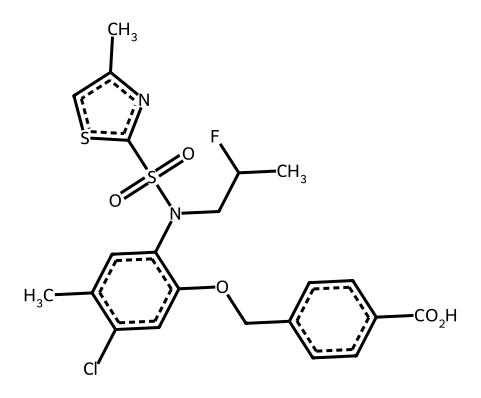 Cc1csc(S(=O)(=O)N(CC(C)F)c2cc(C)c(Cl)cc2OCc2ccc(C(=O)O)cc2)n1